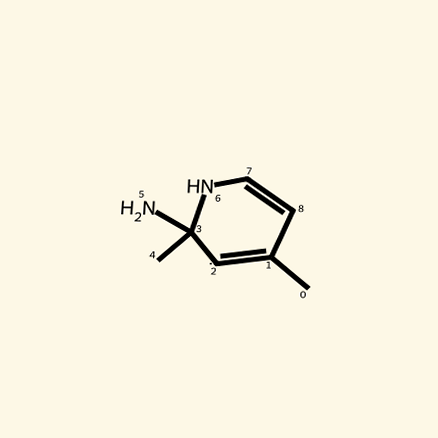 CC1=[C]C(C)(N)NC=C1